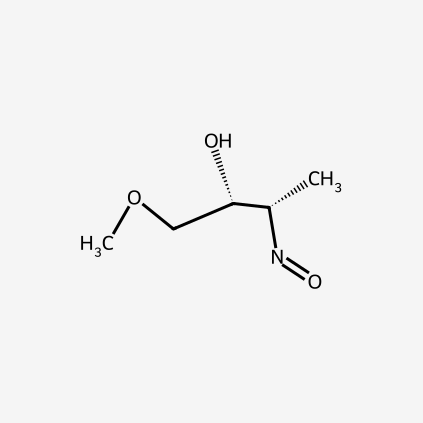 COC[C@H](O)[C@H](C)N=O